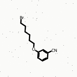 N#Cc1cccc(OCCCCCCBr)c1